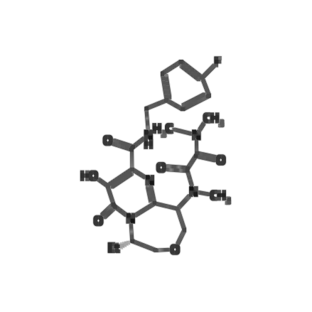 CC[C@H]1COCC(N(C)C(=O)C(=O)N(C)C)c2nc(C(=O)NCc3ccc(F)cc3)c(O)c(=O)n21